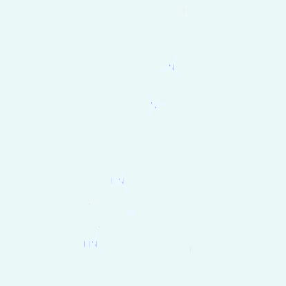 CC(CO)N1CCN(c2ccc(N/C=C3\C(=O)NC(=O)c4ccc(I)cc43)cc2)CC1